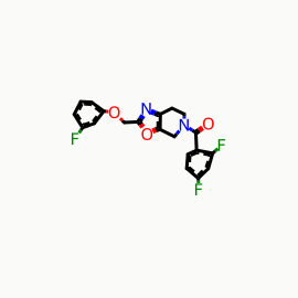 O=C(c1ccc(F)cc1F)N1CCc2nc(COc3cccc(F)c3)oc2C1